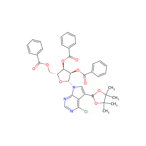 CC1(C)OB(c2cn([C@@H]3O[C@H](COC(=O)c4ccccc4)[C@@H](OC(=O)c4ccccc4)[C@H]3OC(=O)c3ccccc3)c3ncnc(Cl)c23)OC1(C)C